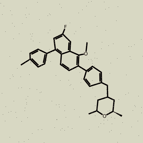 COc1c(-c2ccc(CC3CC(C)O[C@H](C)C3)cc2)ccc2c(-c3ccc(C)cc3)cc(F)cc12